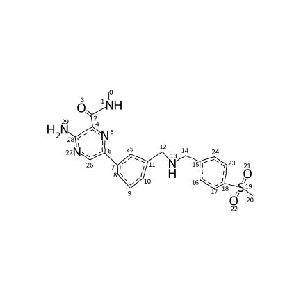 CNC(=O)c1nc(-c2cccc(CNCc3ccc(S(C)(=O)=O)cc3)c2)cnc1N